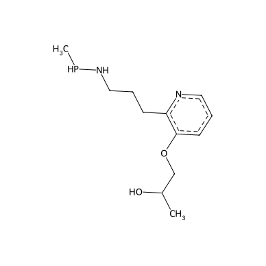 CPNCCCc1ncccc1OCC(C)O